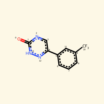 O=c1ncc(-c2cccc(C(F)(F)F)c2)n[nH]1